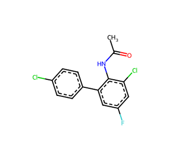 CC(=O)Nc1c(Cl)cc(F)cc1-c1ccc(Cl)cc1